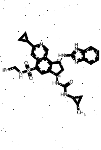 CC(C)CNS(=O)(=O)c1cc2c(c3cnc(C4CC4)cc13)[C@H](Nc1nc3ccccc3[nH]1)C[C@H]2NC(=O)NC1CC1C